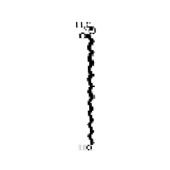 COC(=O)CCCC=CCC=CCC=CCC=CCCCCCO